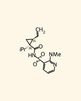 C=C[C@@H]1C[C@@]1(C(=O)NS(=O)(=O)c1cccnc1NC)C(C)C